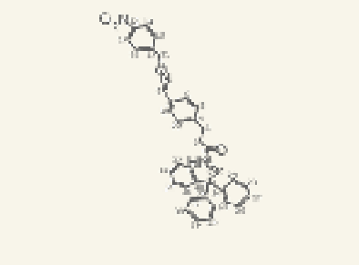 O=C(CCc1ccc(C=NOCc2ccc([N+](=O)[O-])cc2)cc1)NOC(c1ccccc1)(c1ccccc1)c1ccccc1